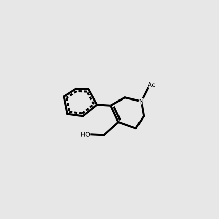 CC(=O)N1CCC(CO)=C(c2ccccc2)C1